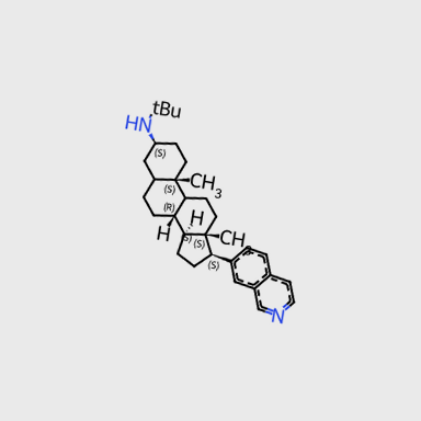 CC(C)(C)N[C@H]1CC[C@@]2(C)C(CC[C@@H]3C2CC[C@]2(C)[C@@H](c4ccc5ccncc5c4)CC[C@@H]32)C1